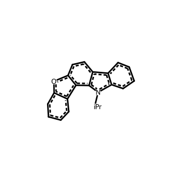 CC(C)n1c2ccccc2c2ccc3oc4ccccc4c3c21